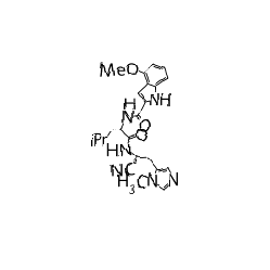 COc1cccc2[nH]c(C(=O)N[C@@H](CC(C)C)C(=O)N[C@H](C#N)Cc3cncn3C)cc12